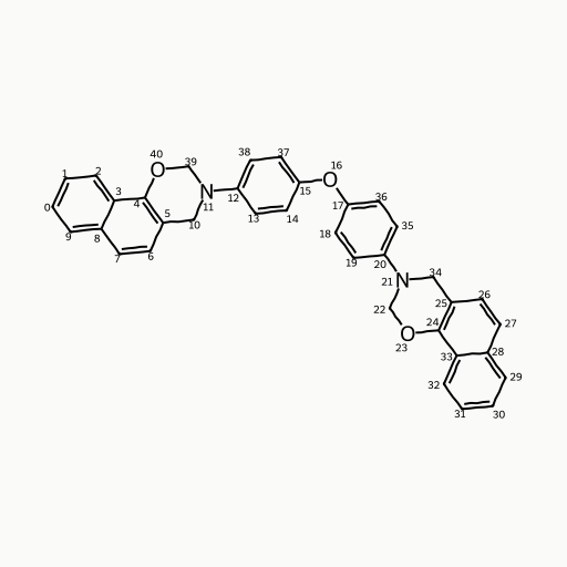 c1ccc2c3c(ccc2c1)CN(c1ccc(Oc2ccc(N4COc5c(ccc6ccccc56)C4)cc2)cc1)CO3